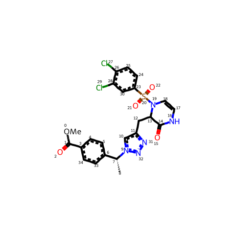 COC(=O)c1ccc([C@@H](C)n2cc(CC3C(=O)NC=CN3S(=O)(=O)c3ccc(Cl)c(Cl)c3)nn2)cc1